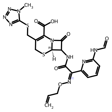 C=CCO/N=C(\C(=O)NC1C(=O)N2C(C(=O)O)=C(CSc3nnnn3C)CS[C@H]12)c1cccc(NC=O)n1